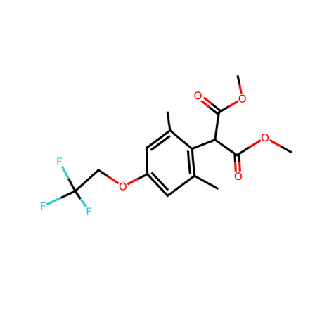 COC(=O)C(C(=O)OC)c1c(C)cc(OCC(F)(F)F)cc1C